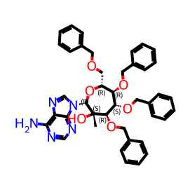 C[C@]1(O)[C@H](OCc2ccccc2)[C@@H](OCc2ccccc2)[C@H](OCc2ccccc2)[C@@H](COCc2ccccc2)O[C@H]1n1cnc2c(N)ncnc21